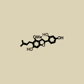 COc1c(CC=C(C)C)c(O)cc2c1CC(c1ccc(O)cc1O)O2